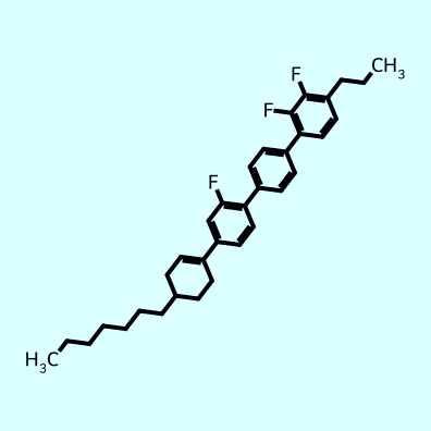 CCCCCCCC1CC=C(c2ccc(-c3ccc(-c4ccc(CCC)c(F)c4F)cc3)c(F)c2)CC1